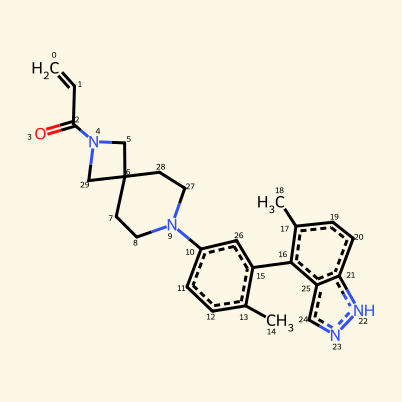 C=CC(=O)N1CC2(CCN(c3ccc(C)c(-c4c(C)ccc5[nH]ncc45)c3)CC2)C1